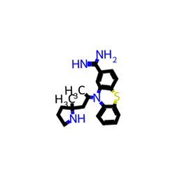 CC(CC1(C)CCCN1)N1c2ccccc2Sc2ccc(C(=N)N)cc21